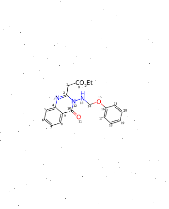 CCOC(=O)Cc1nc2ccccc2c(=O)n1NCOc1ccccc1